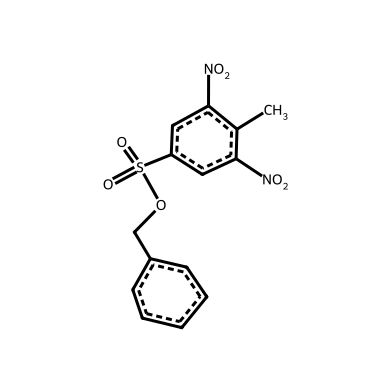 Cc1c([N+](=O)[O-])cc(S(=O)(=O)OCc2ccccc2)cc1[N+](=O)[O-]